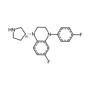 Fc1ccc(N2CCN([C@@H]3CCNC3)c3ccc(F)cc32)cc1